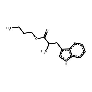 CCCCOC(=O)C(N)Cc1c[nH]c2ccccc12